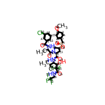 COc1ccc(CS(=O)(=O)[C@@H]2C[C@@H](C(=O)NC(C(C)C)[C@@H](O)C(F)(F)C(=O)NCC(F)(F)F)N(C(=O)[C@H](C)NC(=O)c3cccc(Cl)c3)C2)cc1